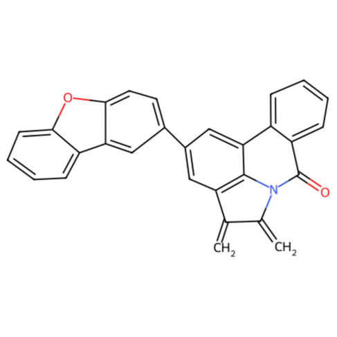 C=c1c(=C)n2c(=O)c3ccccc3c3cc(-c4ccc5oc6ccccc6c5c4)cc1c32